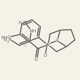 COc1cccc([S+]([O-])N2C3CCC2CN(C(=O)/C(=C/N)NN)C3)c1